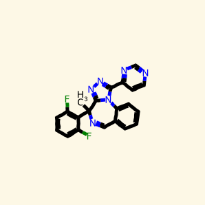 CC1(c2c(F)cccc2F)N=Cc2ccccc2-n2c(-c3ccncn3)nnc21